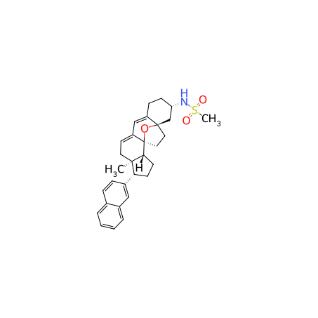 C[C@]12CC=C3C=C4CC[C@H](NS(C)(=O)=O)C[C@]45CC[C@]3(O5)[C@@H]1CC[C@@H]2c1ccc2ccccc2c1